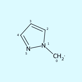 [CH2]n1cccn1